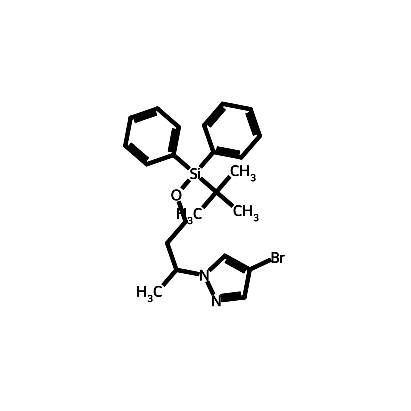 CC(CCO[Si](c1ccccc1)(c1ccccc1)C(C)(C)C)n1cc(Br)cn1